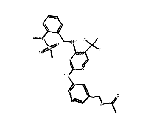 CC(=O)NCc1cccc(Nc2ncc(C(F)(F)F)c(NCc3cccnc3N(C)S(C)(=O)=O)n2)c1